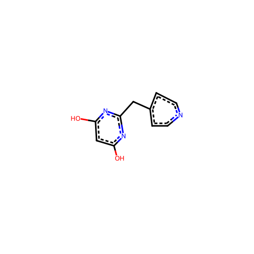 Oc1cc(O)nc(Cc2ccncc2)n1